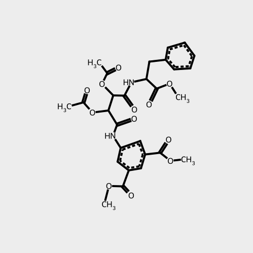 COC(=O)c1cc(NC(=O)C(OC(C)=O)C(OC(C)=O)C(=O)NC(Cc2ccccc2)C(=O)OC)cc(C(=O)OC)c1